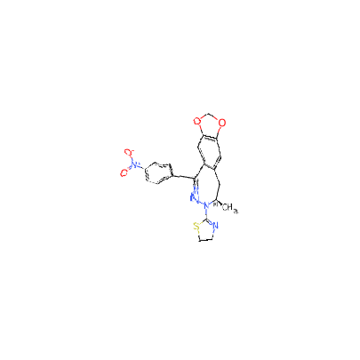 C[C@@H]1Cc2cc3c(cc2C(c2ccc([N+](=O)[O-])cc2)=NN1C1=NCCS1)OCO3